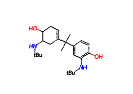 CC(C)(C)Nc1cc(C(C)(C)C2=CCC(O)C(NC(C)(C)C)C2)ccc1O